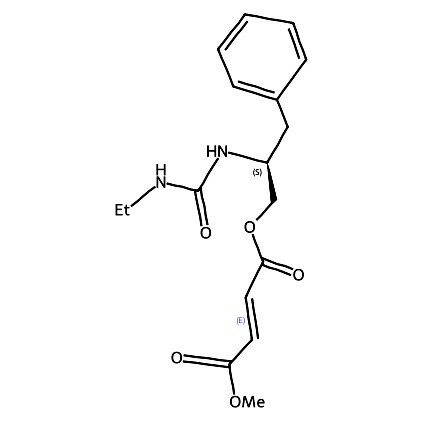 CCNC(=O)N[C@H](COC(=O)/C=C/C(=O)OC)Cc1ccccc1